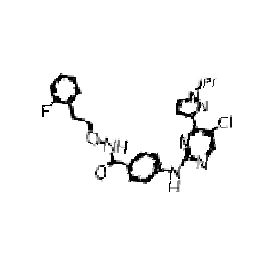 CC(C)n1ccc(-c2nc(Nc3ccc(C(=O)NOCCc4ccccc4F)cc3)ncc2Cl)n1